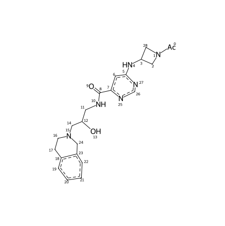 CC(=O)N1CC(Nc2cc(C(=O)NCC(O)CN3CCc4ccccc4C3)ncn2)C1